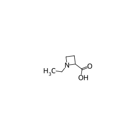 CCN1CCC1C(=O)O